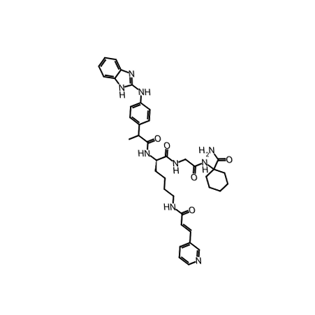 CC(C(=O)N[C@H](CCCCNC(=O)/C=C/c1cccnc1)C(=O)NCC(=O)NC1(C(N)=O)CCCCC1)c1ccc(Nc2nc3ccccc3[nH]2)cc1